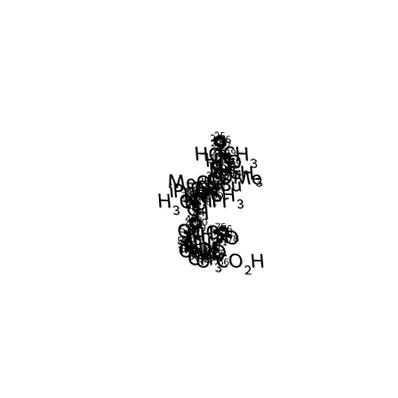 CC[C@H](C)[C@@H]([C@@H](CC(=O)N1CCC[C@H]1[C@H](OC)[C@@H](C)C(=O)N[C@H](C)[C@@H](O)c1ccccc1)OC)N(C)C(=O)[C@@H](NC(=O)[C@H](C(C)C)N(C)C(=O)OCc1ccc(NC(=O)[C@H](CC(C)C)NC(=O)[C@H](C)NC(=O)[C@H](CCC(=O)O)NC(=O)CCN2C(=O)C=CC2=O)cc1)C(C)C